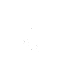 C=CC(=O)OCO[Si](C)(CCCCCCCCCCCC)OC